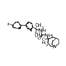 CC1(NC(=O)NC(C)(C)c2ccc(-c3ccc(F)cc3)cc2)CCN2CCC(CC2)C1